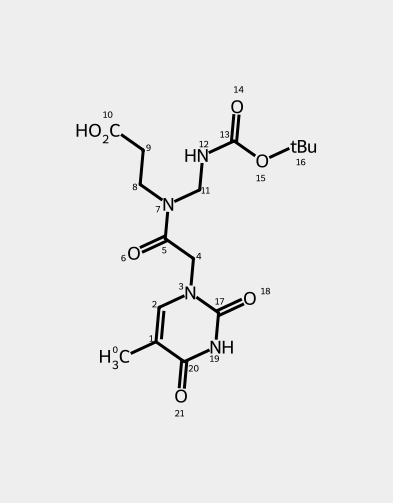 Cc1cn(CC(=O)N(CCC(=O)O)CNC(=O)OC(C)(C)C)c(=O)[nH]c1=O